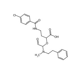 CN(CCc1ccccc1)C(C=O)OC(CCNC(=O)c1ccc(Cl)cc1)C(=O)O